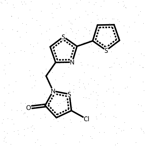 O=c1cc(Cl)sn1Cc1csc(-c2cccs2)n1